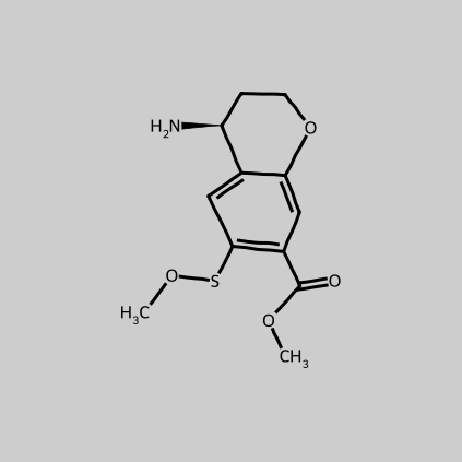 COSc1cc2c(cc1C(=O)OC)OCC[C@@H]2N